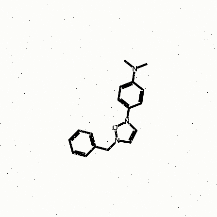 CN(C)c1ccc(N2C=CN(Cc3ccccc3)O2)cc1